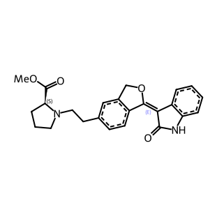 COC(=O)[C@@H]1CCCN1CCc1ccc2c(c1)CO/C2=C1/C(=O)Nc2ccccc21